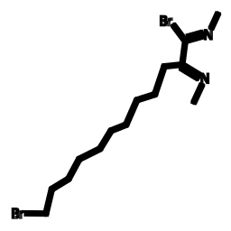 CN=C(Br)C(CCCCCCCCCCBr)=NC